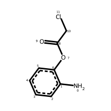 Nc1ccccc1OC(=O)CCl